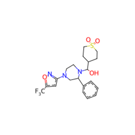 O=S1(=O)CCC(C(O)N2CCN(c3cc(C(F)(F)F)on3)CC2c2ccccc2)CC1